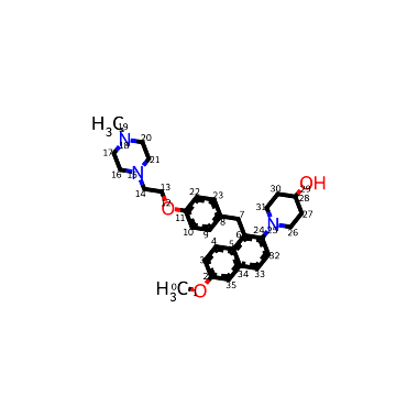 COc1ccc2c(Cc3ccc(OCCN4CCN(C)CC4)cc3)c(N3CCC(O)CC3)ccc2c1